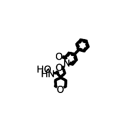 O=C(NO)C1(CCn2ccc(-c3ccccc3)cc2=O)CCOCC1